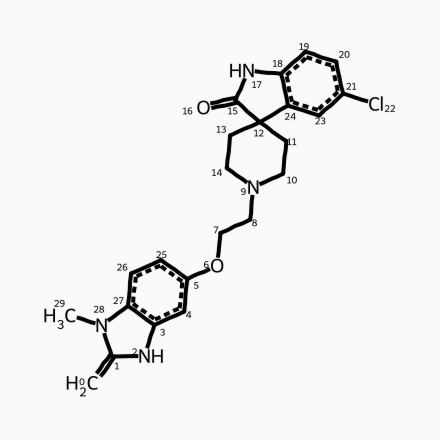 C=C1Nc2cc(OCCN3CCC4(CC3)C(=O)Nc3ccc(Cl)cc34)ccc2N1C